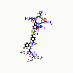 CC(=O)CC[C@@H](NC(=O)N[C@H](CCCCN(Cc1ccc(I)cc1)C(=O)c1ccc(CNC(=S)Nc2ccc(CC3CN(CC(N)=O)CCN(CC(N)=O)CCN(CC(N)=O)CCN3CC(N)=O)cc2)cc1)C(=O)O)C(=O)O